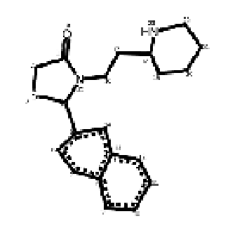 O=C1CSC(c2ccc3ccccc3c2)N1CCC1CCCCN1